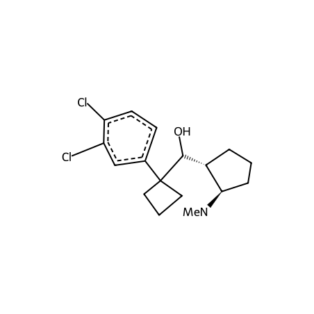 CN[C@@H]1CCC[C@H]1C(O)C1(c2ccc(Cl)c(Cl)c2)CCC1